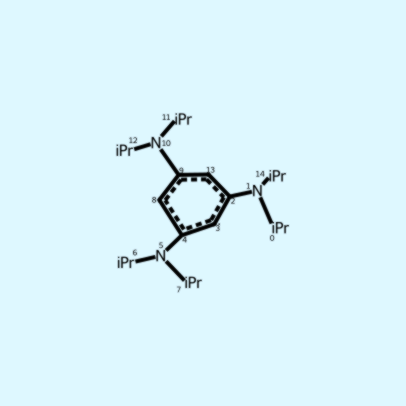 CC(C)N(c1[c]c(N(C(C)C)C(C)C)cc(N(C(C)C)C(C)C)c1)C(C)C